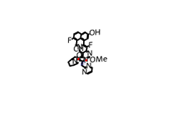 C#Cc1c(F)ccc2cc(O)cc(-c3ncc4c(N5CC6CCC(C5)N6C(=O)/C(F)=C/c5ncccn5)nc(OC)nc4c3F)c12